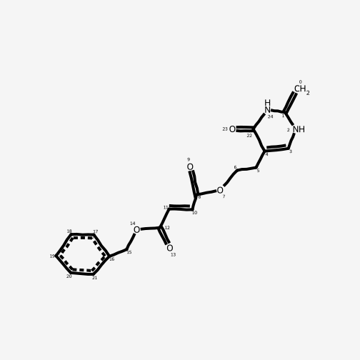 C=C1NC=C(CCOC(=O)/C=C/C(=O)OCc2ccccc2)C(=O)N1